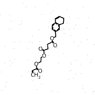 C=CC(=O)OCCOC(=O)CCC(=O)OCc1ccc2c(c1)CCC=C2